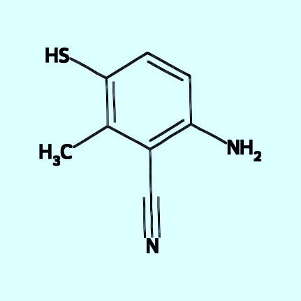 Cc1c(S)ccc(N)c1C#N